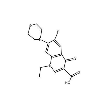 CCn1cc(C(=O)O)c(=O)c2cc(F)c(N3CCSCC3)cc21